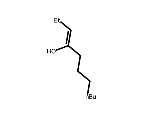 CCC=C(O)CCCCCCC